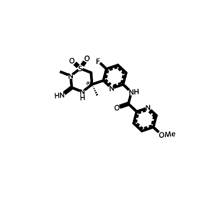 COc1ccc(C(=O)Nc2ccc(F)c([C@]3(C)CS(=O)(=O)N(C)C(=N)N3)n2)nc1